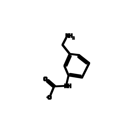 NCc1cccc(NC([O])=O)c1